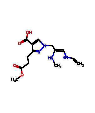 C=CN/C=C(/Cn1cc(C(=O)O)c(CCC(=O)OC)n1)NC